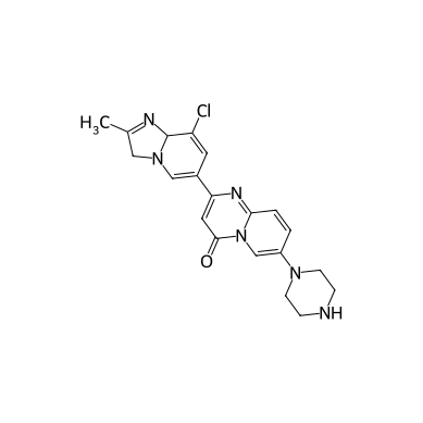 CC1=NC2C(Cl)=CC(c3cc(=O)n4cc(N5CCNCC5)ccc4n3)=CN2C1